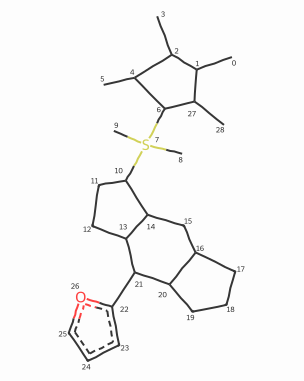 CC1C(C)C(C)C(S(C)(C)C2CCC3C2CC2CCCC2C3c2ccco2)C1C